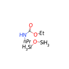 CCCNC(=O)OCC.[SiH3]O[SiH3]